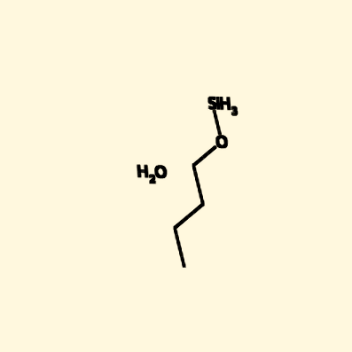 CCCCO[SiH3].O